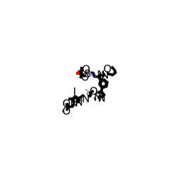 COC(=O)Cn1nc(CN(C)C[C@H](C)Oc2c(-c3ccc4c(c3)c(/C=C/B3OC(C)(C)C(C)(C)O3)nn4C3CCCCO3)cnn2C)c(I)c1C